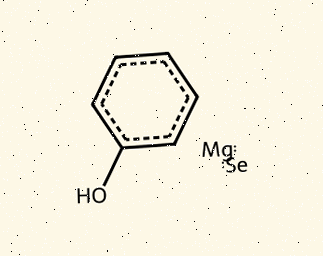 Oc1ccccc1.[Mg].[Se]